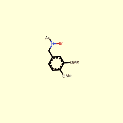 COc1ccc(CN(Br)C(C)=O)cc1OC